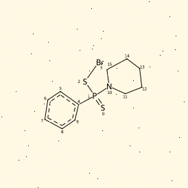 S=P(SBr)(c1ccccc1)N1CCCCC1